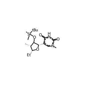 CC[C@H]1O[C@@H](c2cn(C)c(=O)[nH]c2=O)C(O[Si](C)(C)C(C)(C)C)[C@H]1C